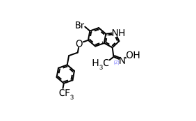 C/C(=N/O)c1c[nH]c2cc(Br)c(OCCc3ccc(C(F)(F)F)cc3)cc12